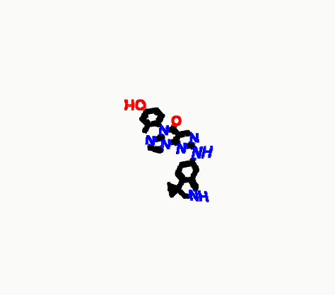 Cc1cc(O)ccc1-n1c(=O)c2cnc(NC3=CC=C4C(=CNCC45CC5)C3)nc2n2ccnc12